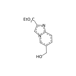 CCOC(=O)c1cn2cc(CO)ccc2n1